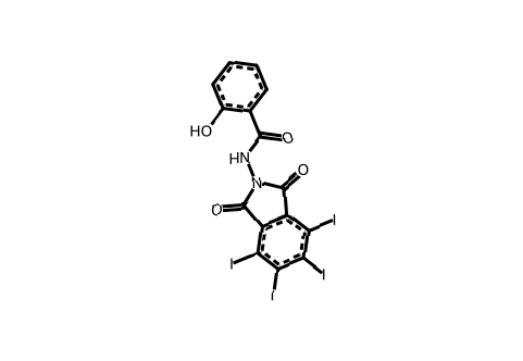 O=C(NN1C(=O)c2c(I)c(I)c(I)c(I)c2C1=O)c1ccccc1O